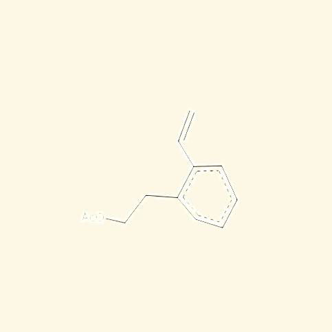 C=Cc1ccccc1CCOC(C)=O